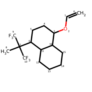 C=COC1CCC(C(C)(C(F)(F)F)C(F)(F)F)C2CCCCC12